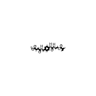 C=C(C)C(=O)OCCNC(=O)Nc1ccc(CNC(=O)CCC(=O)OC)cc1